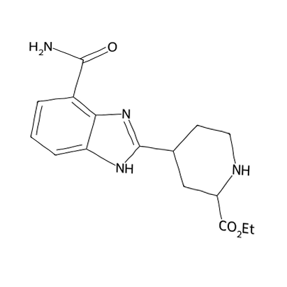 CCOC(=O)C1CC(c2nc3c(C(N)=O)cccc3[nH]2)CCN1